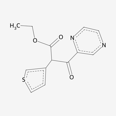 CCOC(=O)C(C(=O)c1cnccn1)c1ccsc1